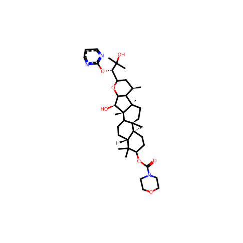 C[C@@H]1CC([C@H](Oc2ncccn2)C(C)(C)O)OC2C1[C@@]1(C)CC[C@@]34C[C@@]35CCC(OC(=O)N3CCOCC3)C(C)(C)[C@@H]5CCC4[C@]1(C)[C@H]2O